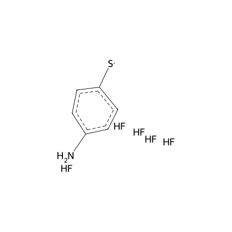 F.F.F.F.F.Nc1ccc([S])cc1